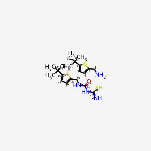 CC(C)(C)c1ccc(CN)s1.CC(C)(C)c1ccc(CNC(=O)NC(=N)S)s1